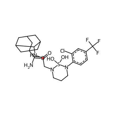 NC(=O)C12CC3CC(C1)C(NC(=O)CN1CCCN(c4ccc(C(F)(F)F)cc4Cl)S1(O)O)C(C3)C2